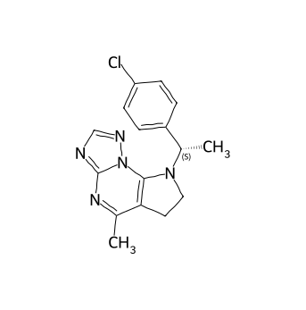 Cc1nc2ncnn2c2c1CCN2[C@@H](C)c1ccc(Cl)cc1